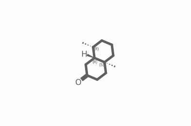 C[C@@H]1CCC[C@@]2(C)CCC(=O)C[C@H]12